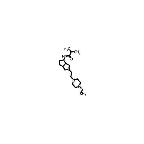 CSN1CCN(CCN2CC3CCC(NC(=O)C(C)C)C3C2)CC1